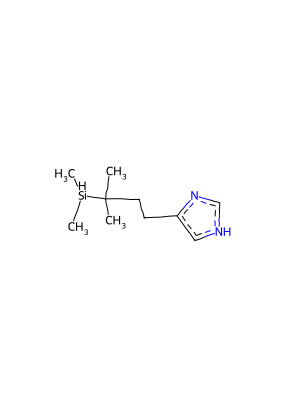 C[SiH](C)C(C)(C)CCc1c[nH]cn1